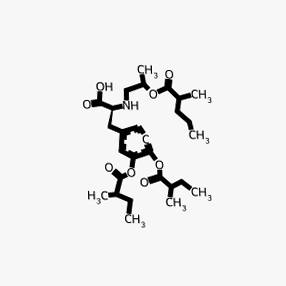 CCCC(C)C(=O)OC(C)CN[C@@H](Cc1ccc(OC(=O)C(C)CC)c(OC(=O)C(C)CC)c1)C(=O)O